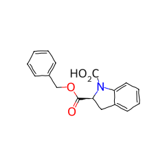 O=C(OCc1ccccc1)[C@@H]1Cc2ccccc2N1C(=O)O